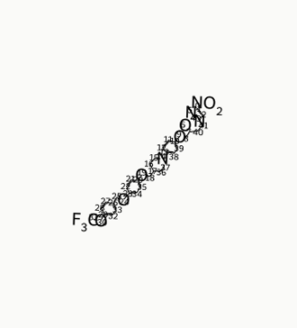 O=[N+]([O-])c1cn2c(n1)O[C@H](COc1ccc(N3CCC(COc4ccc(OCc5ccc(OC(F)(F)F)cc5)cc4)CC3)cc1)CC2